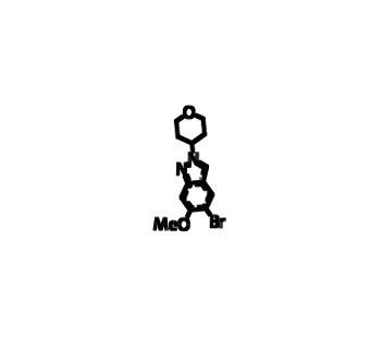 COc1cc2nn(C3CCOCC3)cc2cc1Br